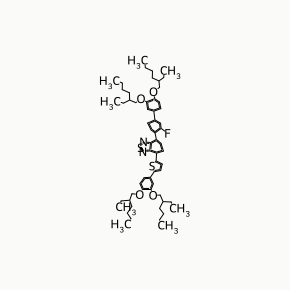 CCCCC(CC)COc1ccc(-c2ccc(-c3ccc(-c4ccc(-c5ccc(OCC(CC)CCCC)c(OCC(CC)CCCC)c5)s4)c4nsnc34)c(F)c2)cc1OCC(CC)CCCC